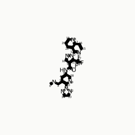 C=NCc1cc(NC(=O)c2cnn(-c3nccc4ncccc34)c2C(F)(F)F)cnc1-n1nccn1